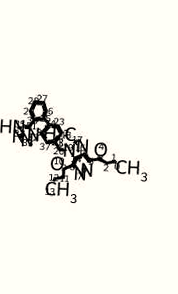 CCCC(=O)c1nnc(C(=O)CCC)c2c1nc(C)n2Cc1ccc(-c2ccccc2-c2nnn[nH]2)cc1